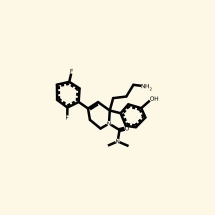 CN(C)C(=O)N1CCC(c2cc(F)ccc2F)=CC1(CCCN)c1cccc(O)c1